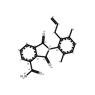 C=CCc1c(C)ccc(C)c1N1C(=O)c2cccc(C(N)=O)c2C1=O